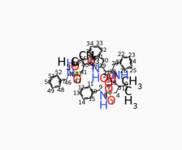 CC(C)C(CS(=O)(=O)NCc1ccccc1)C(=O)NC(Cc1ccccc1)C(O)C(Cc1ccccc1)NC(=O)C(CS(=O)(=O)NCc1ccccc1)C(C)C